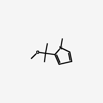 COC(C)(C)c1cccn1C